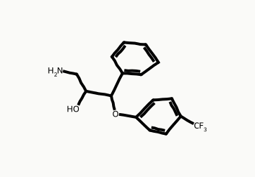 NCC(O)C(Oc1ccc(C(F)(F)F)cc1)c1ccccc1